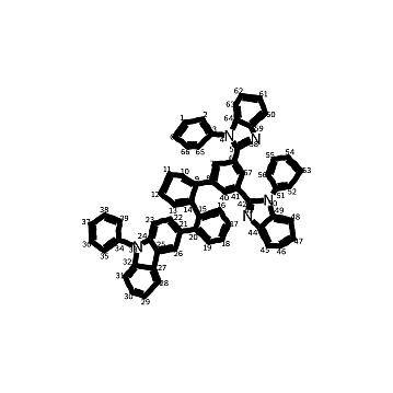 c1ccc(-n2c(-c3cc(-c4ccccc4-c4ccccc4-c4ccc5c(c4)c4ccccc4n5-c4ccccc4)cc(-c4nc5ccccc5n4-c4ccccc4)c3)nc3ccccc32)cc1